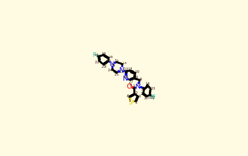 O=C(c1ccsc1)N(Cc1ccc(N2CCN(c3ccc(F)cc3)CC2)nc1)c1ccc(F)cc1